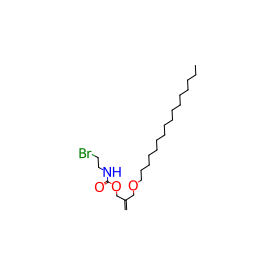 C=C(COCCCCCCCCCCCCCCCC)COC(=O)NCCBr